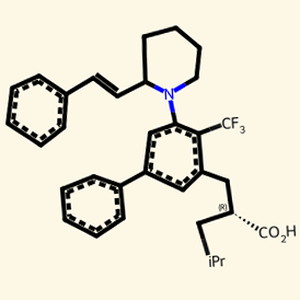 CC(C)C[C@H](Cc1cc(-c2ccccc2)cc(N2CCCCC2C=Cc2ccccc2)c1C(F)(F)F)C(=O)O